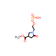 COC(=O)C1CC(=O)N(CCOO[PH](=O)O)C1